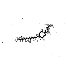 CC(=C\C=C\C(C)=C\[C@H](O)[C@H](O)C[C@H](C)O)/C=C(C)/C=C/C(=O)O[C@H]1CCCC(=O)OC([C@@H](C)Cn2cc([C@H](C)O)nn2)C/C=C/C[C@@H]1C